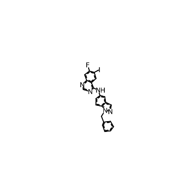 Fc1cc2ncnc(Nc3ccc4c(cnn4Cc4ccccc4)c3)c2cc1I